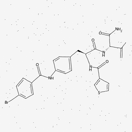 C=C(C)[C@H](NC(=O)[C@H](Cc1ccc(NC(=O)c2ccc(Br)cc2)cc1)NC(=O)c1ccsc1)C(N)=O